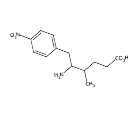 CC(CCC(=O)O)C(N)Cc1ccc([N+](=O)[O-])cc1